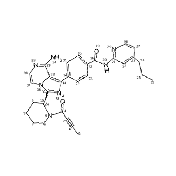 CC#CC(=O)N1CCCC[C@H]1c1nc(-c2ccc(C(=O)Nc3cc(CCC)ccn3)cc2)c2c(N)nccn12